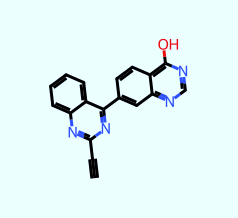 C#Cc1nc(-c2ccc3c(O)ncnc3c2)c2ccccc2n1